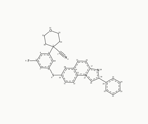 N#CC1(c2cc(F)cc(Sc3ccc4c(ccc5nc(-c6ccccc6)cn54)c3)c2)CCOCC1